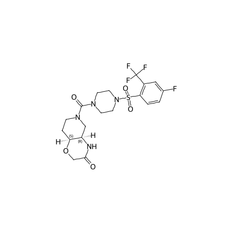 O=C1CO[C@H]2CCN(C(=O)N3CCN(S(=O)(=O)c4ccc(F)cc4C(F)(F)F)CC3)C[C@H]2N1